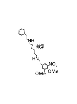 COc1cc(CCNCCCCCCNCCc2ccccc2)cc([N+](=O)[O-])c1OC.Cl.Cl